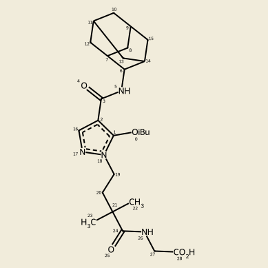 CC(C)COc1c(C(=O)NC2C3CC4CC(C3)CC2C4)cnn1CCC(C)(C)C(=O)NCC(=O)O